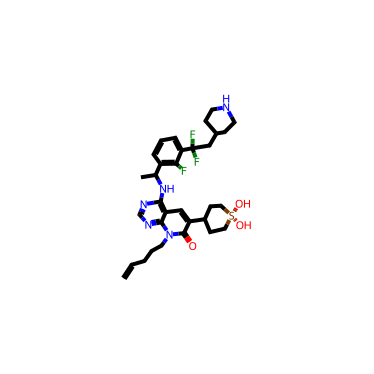 C=CCCCn1c(=O)c(C2CCS(O)(O)CC2)cc2c(NC(C)c3cccc(C(F)(F)CC4CCNCC4)c3F)ncnc21